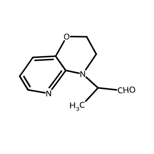 CC(C=O)N1CCOc2cccnc21